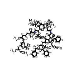 C=C=C(C)C[C@H](CC[C@@H]1OC(CCC(=O)/C=C/C(O[Si](C)(C)C(C)(C)C)[C@@H]2O[C@@H](CC/C=C\C(=O)C([C@H]3[C@H](CC(OC)OC)OC(C[C@H](COC(=O)c4ccccc4)OC(=O)c4ccccc4)[C@@H]3OC)S(=O)(=O)c3ccccc3)[C@H](O[Si](C)(C)C(C)(C)C)[C@H](O)C2O[Si](C)(C)C(C)(C)C)CC1=C)O[Si](CC)(CC)CC